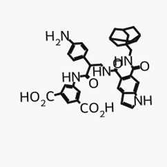 Nc1ccc(C(CNC(=O)c2cc3cc[nH]c3cc2C(=O)NCC23CC4CC(CC(C4)C2)C3)C(=O)Nc2cc(C(=O)O)cc(C(=O)O)c2)cc1